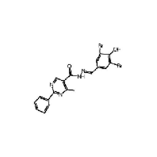 Cc1nc(-c2ccccc2)ncc1C(=O)N/N=C/c1cc(Br)c(O)c(Br)c1